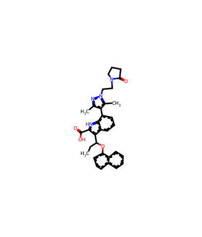 CCC(Oc1cccc2ccccc12)c1c(C(=O)O)[nH]c2c(-c3c(C)nn(CCN4CCCC4=O)c3C)cccc12